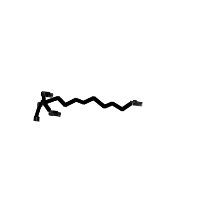 CCCCCCCCCCCCCCCCCC[Si](OC)(OC)OCC